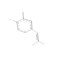 CCOC(=O)C(C)=Cc1ccc(NC(C)=O)c([N+](=O)[O-])c1